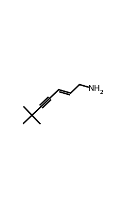 CC(C)(C)C#CC=CCN